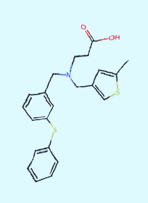 Cc1cc(CN(CCC(=O)O)Cc2cccc(Sc3ccccc3)c2)cs1